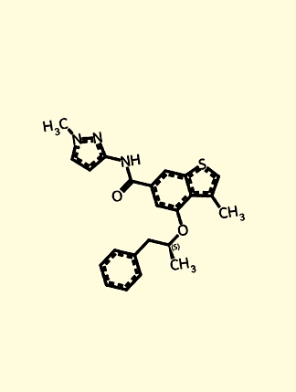 Cc1csc2cc(C(=O)Nc3ccn(C)n3)cc(O[C@@H](C)Cc3ccccc3)c12